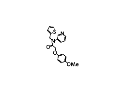 COc1ccc(OCC(=O)N(Cc2cccs2)c2cccnc2)cc1